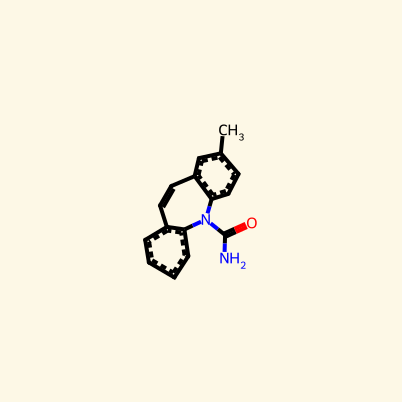 Cc1ccc2c(c1)C=Cc1ccccc1N2C(N)=O